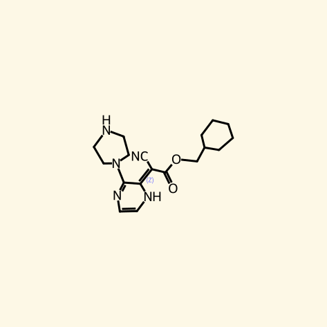 N#C/C(C(=O)OCC1CCCCC1)=C1/NC=CN=C1N1CCNCC1